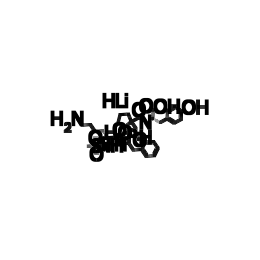 CS(=O)(=O)N[C@H](CCCCN)C(=O)NC(Cc1ccccc1)P(=O)(O)CC1(C(=O)N[C@@H](Cc2ccc(O)cc2)C(=O)O)CCCC1.[LiH]